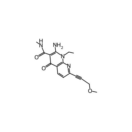 CCn1c(N)c(C(=O)NC)c(=O)c2ccc(C#CCOC)nc21